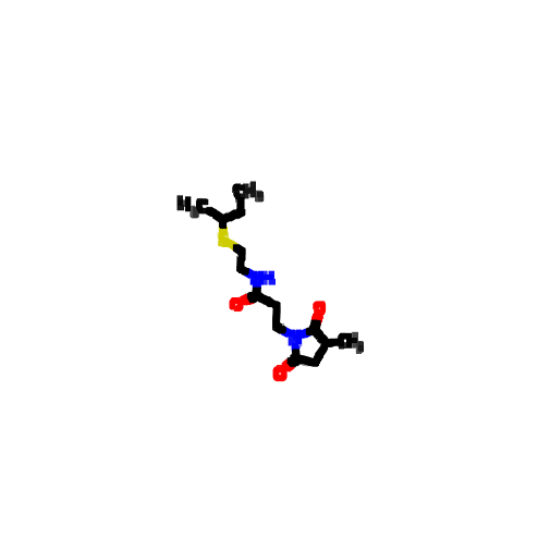 CCC(C)SCCNC(=O)CCN1C(=O)CC(C)C1=O